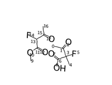 CC(=O)C(C)(F)C(=O)O.COC(=O)C(F)C(C)=O